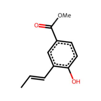 CC=Cc1cc(C(=O)OC)ccc1O